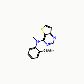 COc1ccccc1N(C)c1ncnc2ccsc12